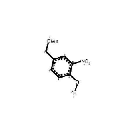 [2H]Oc1ccc(COC)cc1[N+](=O)[O-]